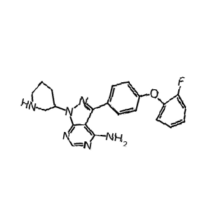 Nc1ncnc2c1c(-c1ccc(Oc3ccccc3F)cc1)nn2C1CCCNC1